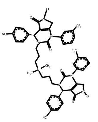 CCN1CC2=C(C1=O)[C@@H](c1ccc(C#N)cc1)N(CCC[N+](C)(C)CCCN1C(=O)N(c3cccc(C(F)(F)F)c3)C3=C(C(=O)N(CC)C3)[C@H]1c1ccc(C#N)cc1)C(=O)N2c1cccc(C(F)(F)F)c1